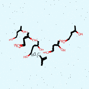 C=C(C)C(=O)O.CC(O)CCO.CC(O)CCO.CC(O)CCO.CC(O)CCO.CC(O)CCO